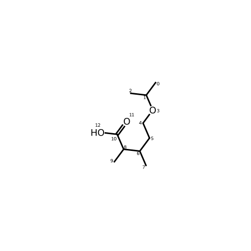 CC(C)OCCC(C)C(C)C(=O)O